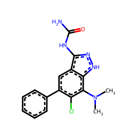 CN(C)c1c(Cl)c(-c2ccccc2)cc2c(NC(N)=O)n[nH]c12